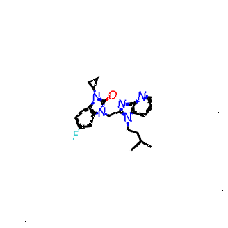 CC(C)CCn1c(Cn2c(=O)n(C3CC3)c3ccc(F)cc32)nc2ncccc21